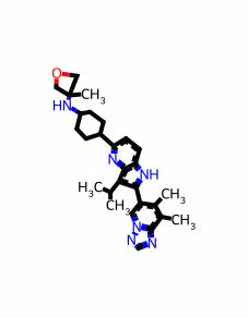 Cc1c(-c2[nH]c3ccc(C4CCC(NC5(C)COC5)CC4)nc3c2C(C)C)cn2ncnc2c1C